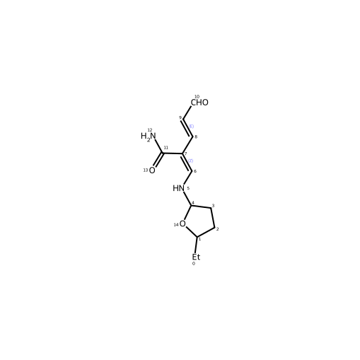 CCC1CCC(N/C=C(/C=C/C=O)C(N)=O)O1